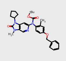 Cc1cc(OCc2ccccc2)ccc1N(C(=O)OC(C)(C)C)c1cc2c(cn1)n(C)c(=O)n2C1CCCC1